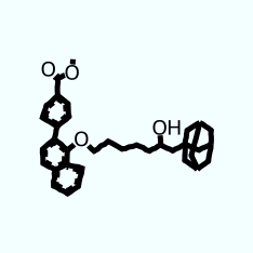 COC(=O)c1ccc(-c2ccc3ccccc3c2OCCCCCC(O)CC23CC4CC(CC(C4)C2)C3)cc1